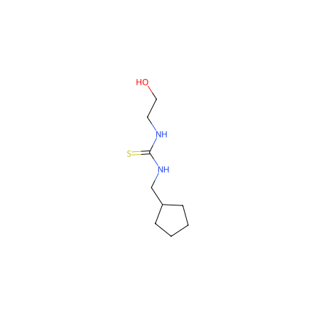 OCCNC(=S)NCC1CCCC1